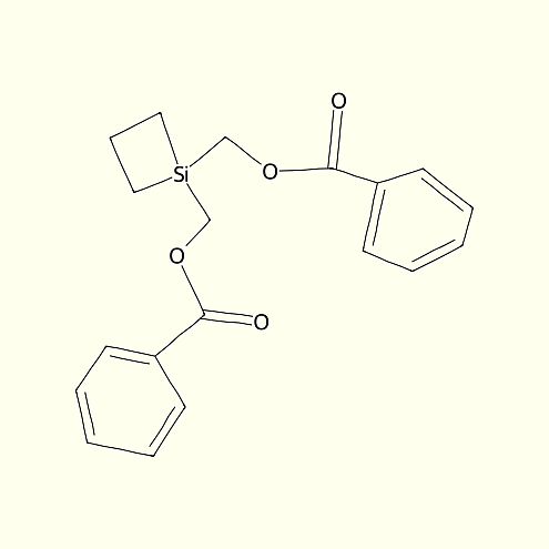 O=C(OC[Si]1(COC(=O)c2ccccc2)CCC1)c1ccccc1